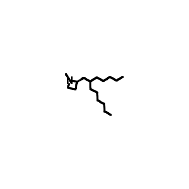 CCCCCCC(CCCCC)C[C@H]1CCN1C